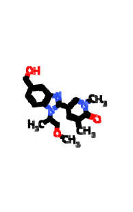 COCC(C)n1c(-c2cc(C)c(=O)n(C)c2)nc2cc(CO)ccc21